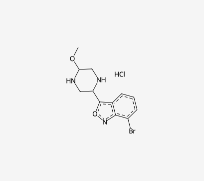 COC1CNC(c2onc3c(Br)cccc23)CN1.Cl